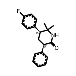 CC1(C)NC(=O)[C@@H](c2ccccc2)C[C@H]1c1ccc(F)cc1